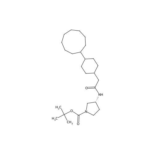 CC(C)(C)OC(=O)N1CC[C@@H](NC(=O)CC2CCC(C3CCCCCCCC3)CC2)C1